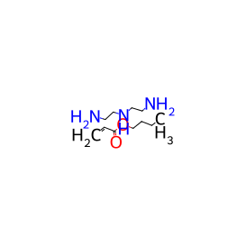 C=CC(=O)OCCCC.NCCNCCN